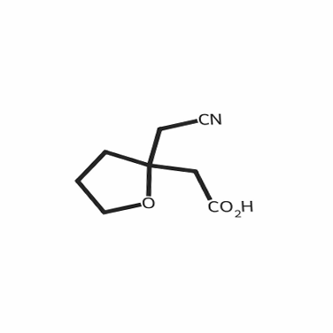 N#CCC1(CC(=O)O)CCCO1